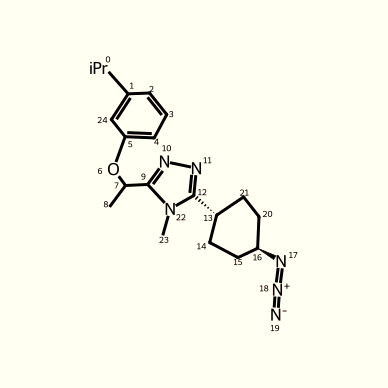 CC(C)c1cccc(OC(C)c2nnc([C@H]3CC[C@H](N=[N+]=[N-])CC3)n2C)c1